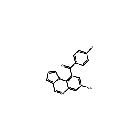 N#Cc1cc(C(=O)c2ccc(F)cc2)c2c(c1)ncc1cccn12